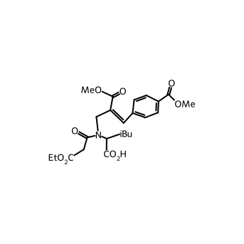 CCOC(=O)CC(=O)N(CC(=Cc1ccc(C(=O)OC)cc1)C(=O)OC)C(C(=O)O)C(C)CC